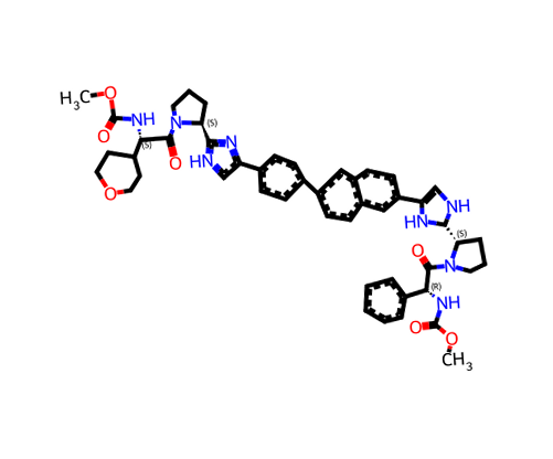 COC(=O)N[C@H](C(=O)N1CCC[C@H]1c1nc(-c2ccc(-c3ccc4cc(C5=CNC([C@@H]6CCCN6C(=O)[C@H](NC(=O)OC)c6ccccc6)N5)ccc4c3)cc2)c[nH]1)C1CCOCC1